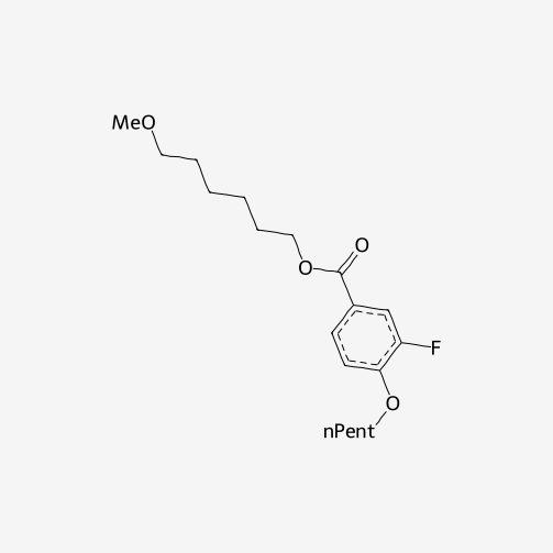 CCCCCOc1ccc(C(=O)OCCCCCCOC)cc1F